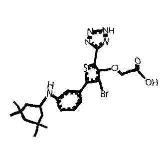 CC1(C)CC(Nc2cccc(-c3sc(-c4nn[nH]n4)c(OCC(=O)O)c3Br)c2)CC(C)(C)C1